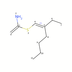 C=C(N)S/C=C(/CC)CCCC